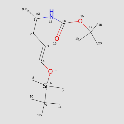 C[C@@H](CC=CO[Si](C)(C)C(C)(C)C)NC(=O)OC(C)(C)C